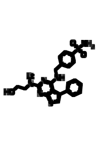 CCN(CCO)c1nc(NCc2ccc(S(N)(=O)=O)cc2)c2c(-c3ccccc3)csc2n1